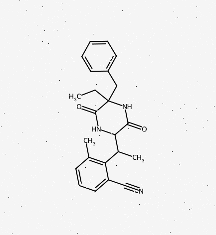 CCC1(Cc2ccccc2)NC(=O)C(C(C)c2c(C)cccc2C#N)NC1=O